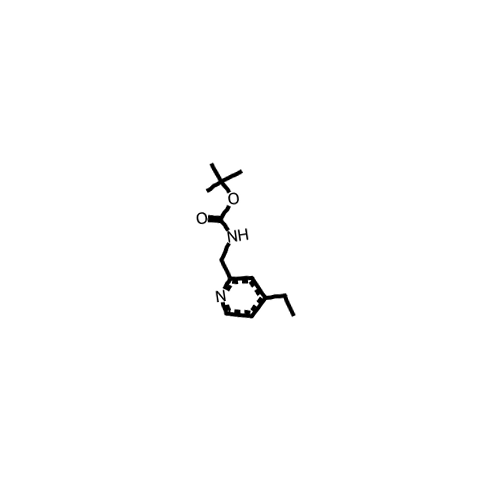 CCc1ccnc(CNC(=O)OC(C)(C)C)c1